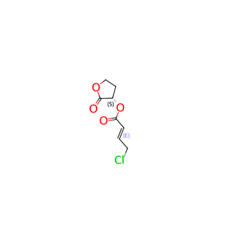 O=C(/C=C/CCl)O[C@H]1CCOC1=O